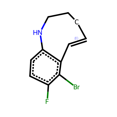 Fc1ccc2c(c1Br)/C=C/CCCN2